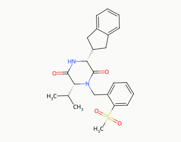 CC(C)[C@@H]1C(=O)N[C@H](C2Cc3ccccc3C2)C(=O)N1Cc1ccccc1S(C)(=O)=O